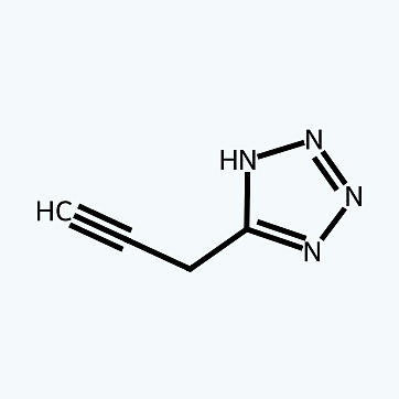 C#CCc1nnn[nH]1